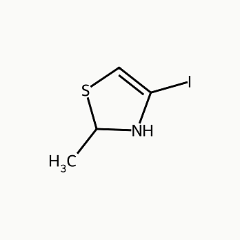 CC1NC(I)=CS1